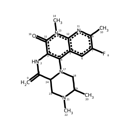 C=C1Nc2c(c3cc(F)c(C)nc3n(C)c2=O)N2CC(C)N(C)CC12